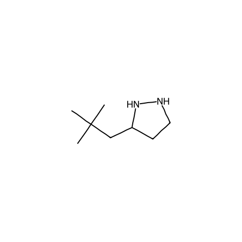 CC(C)(C)CC1CCNN1